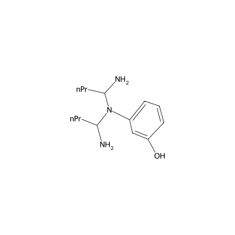 CCCC(N)N(c1cccc(O)c1)C(N)CCC